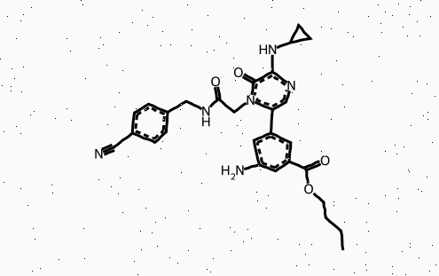 CCCCOC(=O)c1cc(N)cc(-c2cnc(NC3CC3)c(=O)n2CC(=O)NCc2ccc(C#N)cc2)c1